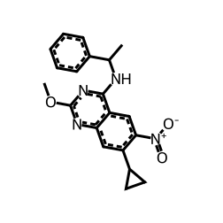 COc1nc(NC(C)c2ccccc2)c2cc([N+](=O)[O-])c(C3CC3)cc2n1